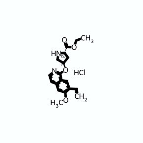 C=Cc1cc2c(O[C@H]3CN[C@H](C(=O)OCC)C3)nccc2cc1OC.Cl